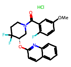 COc1ccc(F)c(C(=O)N2CCC(F)(F)[C@@H](Oc3ccc4ccccc4n3)C2)c1.Cl